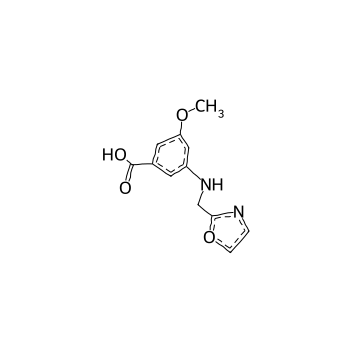 COc1cc(NCc2ncco2)cc(C(=O)O)c1